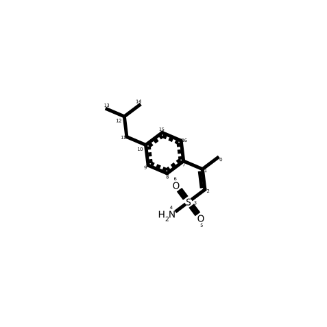 C/C(=C/S(N)(=O)=O)c1ccc(CC(C)C)cc1